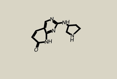 O=c1ccc2cnc(NC3CCNC3)nc2[nH]1